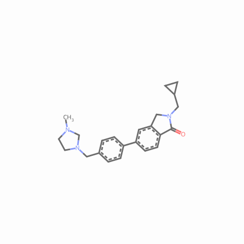 CN1CCN(Cc2ccc(-c3ccc4c(c3)CN(CC3CC3)C4=O)cc2)C1